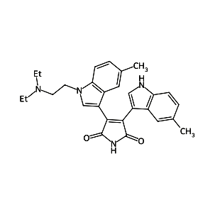 CCN(CC)CCn1cc(C2=C(c3c[nH]c4ccc(C)cc34)C(=O)NC2=O)c2cc(C)ccc21